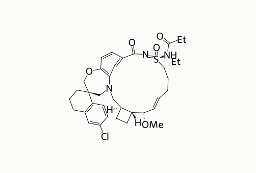 CCC(=O)N[S@]1(=O)=NC(=O)c2ccc3c(c2)N(C[C@@H]2CC[C@H]2[C@@H](OC)/C=C/CC[C@H]1CC)C[C@@]1(CCCc2cc(Cl)ccc21)CO3